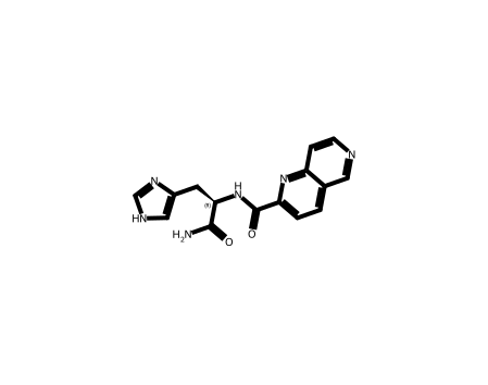 NC(=O)[C@@H](Cc1c[nH]cn1)NC(=O)c1ccc2cnccc2n1